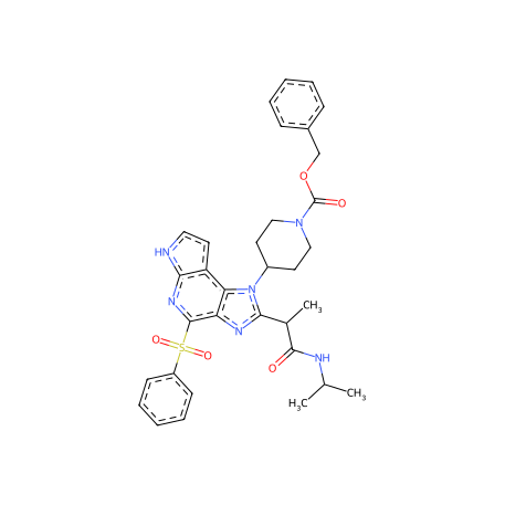 CC(C)NC(=O)C(C)c1nc2c(S(=O)(=O)c3ccccc3)nc3[nH]ccc3c2n1C1CCN(C(=O)OCc2ccccc2)CC1